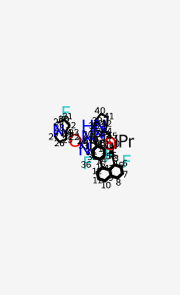 CC(C)[Si](C#Cc1c(F)ccc2cccc(-c3c(F)c4c5c(nc(OC[C@@]67CCCN6C[C@H](F)C7)nc5c3F)N3CC5CCC(N5)C3CO4)c12)(C(C)C)C(C)C